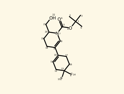 CC(C)(C)OC(=O)N1C=C(C2=CCC(F)(F)CC2)CCC1CO